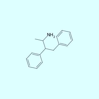 CC(N)C(Cc1ccccc1)c1ccccc1